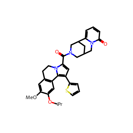 COc1cc2c(cc1OC(C)C)-c1c(-c3cccs3)cc(C(=O)N3CC4CC(C3)c3cccc(=O)n3C4)n1CC2